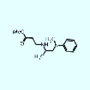 COC(=O)CCNC(C)CN(C)c1[c]cccc1